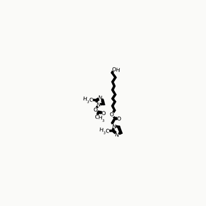 CC(=O)On1ccnc1C.Cc1nccn1CC(=O)OCCCCCCCCCCO